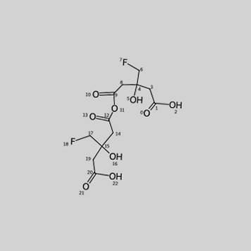 O=C(O)CC(O)(CF)CC(=O)OC(=O)CC(O)(CF)CC(=O)O